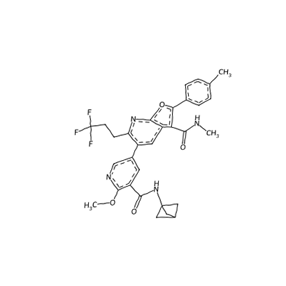 CNC(=O)c1c(-c2ccc(C)cc2)oc2nc(CCC(F)(F)F)c(-c3cnc(OC)c(C(=O)NC45CC(C4)C5)c3)cc12